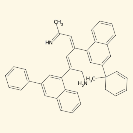 CC(=N)/C=C(\C=C(/CN)c1cc(-c2ccccc2)cc2ccccc12)c1cc(C2(C)C=CC=CC2)cc2ccccc12